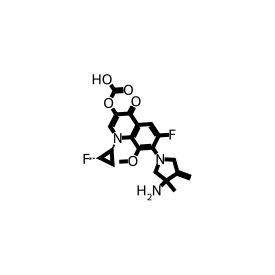 C=C1CN(c2c(F)cc3c(=O)c(OC(=O)O)cn([C@@H]4C[C@@H]4F)c3c2OC)CC1(C)N